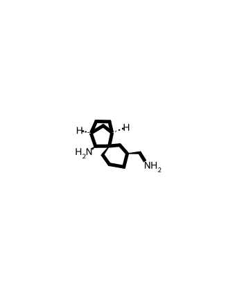 NC[C@H]1CCC[C@]2(C1)[C@@H]1CC[C@@H](C1)[C@H]2N